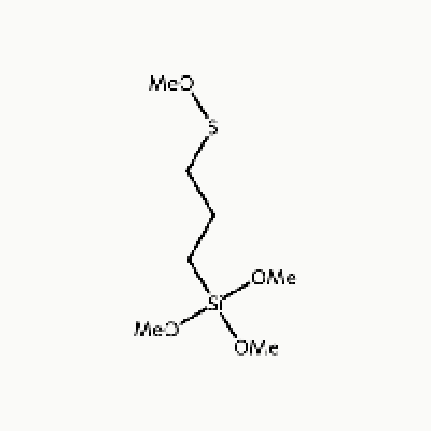 COSCCC[Si](OC)(OC)OC